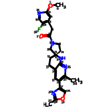 COc1cc(CC(=O)N2CC[C@]3(CCc4cc(-c5coc(C)n5)c(C)nc4N3)C2)c(F)cn1